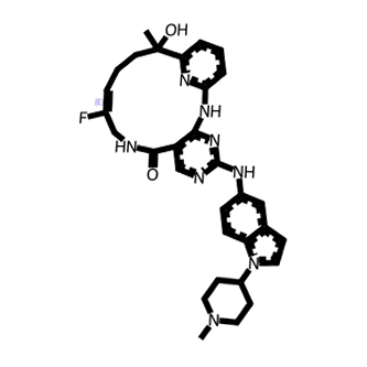 CN1CCC(n2ccc3cc(Nc4ncc5c(n4)Nc4cccc(n4)C(C)(O)CC/C=C(/F)CNC5=O)ccc32)CC1